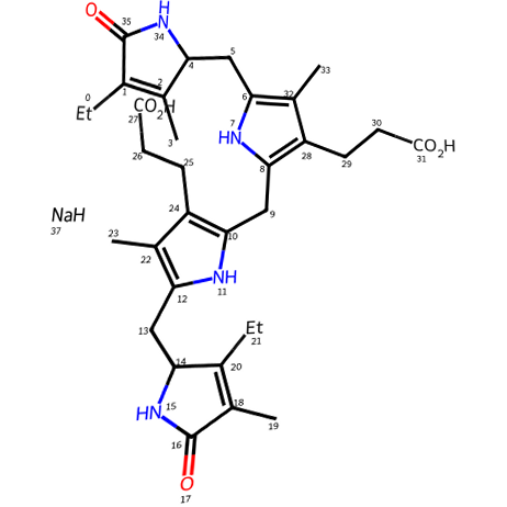 CCC1=C(C)C(Cc2[nH]c(Cc3[nH]c(CC4NC(=O)C(C)=C4CC)c(C)c3CCC(=O)O)c(CCC(=O)O)c2C)NC1=O.[NaH]